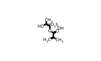 C=C(C)C(=O)OCC(C)O.O=S(=O)(O)O